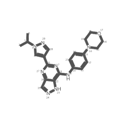 CC(C)n1cc(-c2nc(Nc3ccc(N4CCOCC4)cc3)c3[nH]ncc3n2)cn1